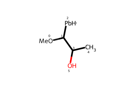 CO[CH]([PbH])C(C)O